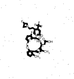 Cc1cccc2c1-c1cc(c(C)s1)[C@H](CC(=O)O)NC(=O)[C@@H](n1cc(CCN3CC(F)C3)c(C(F)(F)F)cc1=O)c1cc(ccc1F)CO2